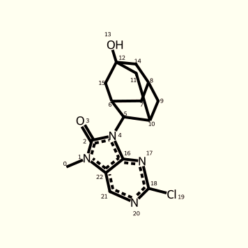 Cn1c(=O)n(C2C3CC4CC2CC(O)(C4)C3)c2nc(Cl)ncc21